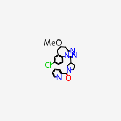 COC1Cc2cc(Cl)ccc2-n2c(nnc2C2CCN(C(=O)c3ccccn3)C2)C1